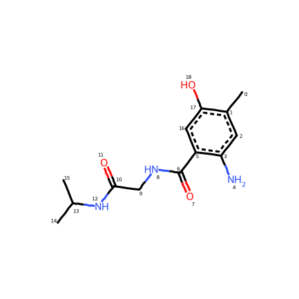 Cc1cc(N)c(C(=O)NCC(=O)NC(C)C)cc1O